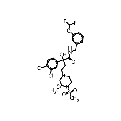 C[C@H]1CN(CCC(C)(C(=O)NCc2cccc(OC(F)F)c2)c2ccc(Cl)c(Cl)c2)CCN1S(C)(=O)=O